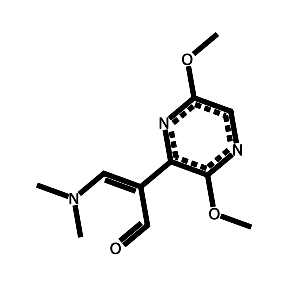 COc1cnc(OC)c(C(C=O)=CN(C)C)n1